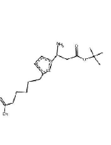 CC(C)(C)OC(=O)CC(N)c1ccc(CCCCCC(=O)O)s1